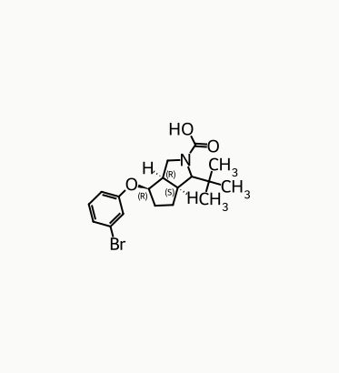 CC(C)(C)C1[C@H]2CC[C@@H](Oc3cccc(Br)c3)[C@H]2CN1C(=O)O